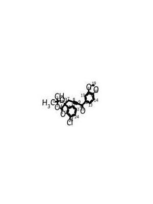 CC1(C)OC(=O)C(CC#CC(=O)c2ccc3c(c2)OCO3)(c2cccc(Cl)c2)O1